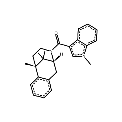 Cn1cc(C(=O)N2CC[C@@]3(C)c4ccccc4C[C@@H]2C3(C)C)c2ccccc21